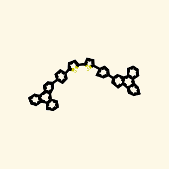 c1ccc2c(c1)c1ccccc1c1cc(-c3ccc(-c4ccc(-c5ccc(-c6ccc(-c7ccc8c9ccccc9c9ccccc9c8c7)cc6)s5)s4)cc3)ccc21